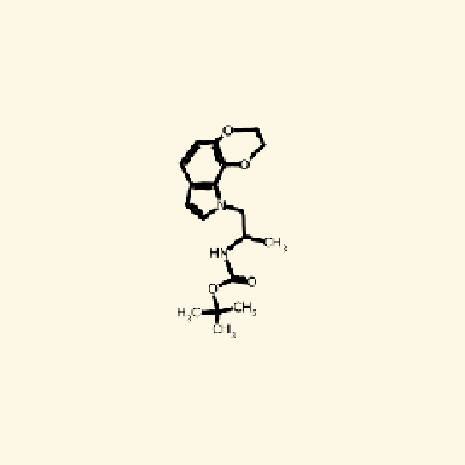 CC(Cn1ccc2ccc3c(c21)OCCO3)NC(=O)OC(C)(C)C